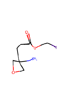 NC1(CC(=O)OCI)COC1